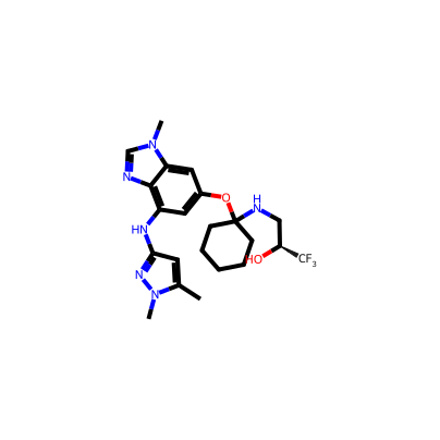 Cc1cc(Nc2cc(OC3(NC[C@H](O)C(F)(F)F)CCCCC3)cc3c2ncn3C)nn1C